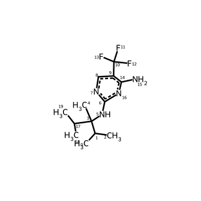 CC(C)C(C)(Nc1ncc(C(F)(F)F)c(N)n1)C(C)C